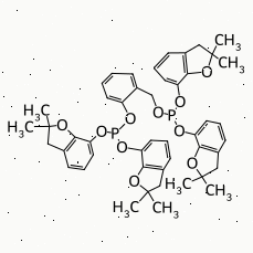 CC1(C)Cc2cccc(OP(OCc3ccccc3OP(Oc3cccc4c3OC(C)(C)C4)Oc3cccc4c3OC(C)(C)C4)Oc3cccc4c3OC(C)(C)C4)c2O1